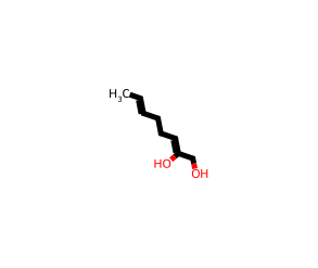 CC=CCCC=C(O)CO